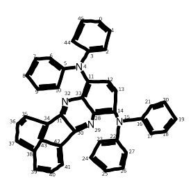 c1ccc(N(c2ccccc2)c2ccc(N(c3ccccc3)c3ccccc3)c3nc4c(nc23)-c2cccc3cccc-4c23)cc1